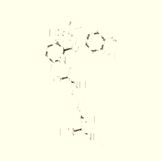 Cc1ccc(NS(=O)(=O)Cc2ccc(Cl)c(Cl)c2)c(=O)n1CC(=O)NCCONC(=N)N